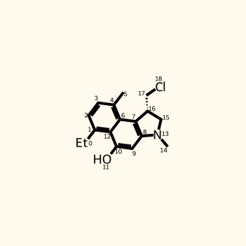 CCc1ccc(C)c2c3c(cc(O)c12)N(C)C[C@H]3CCl